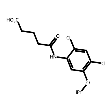 CC(C)Oc1cc(NC(=O)CCCC(=O)O)c(Cl)cc1Cl